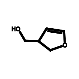 OCC1[CH]OC=C1